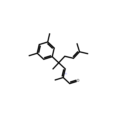 CC(C)=CCC(C)(/C=C(\C)C=O)c1cc(C)cc(C)c1